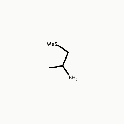 BC(C)CSC